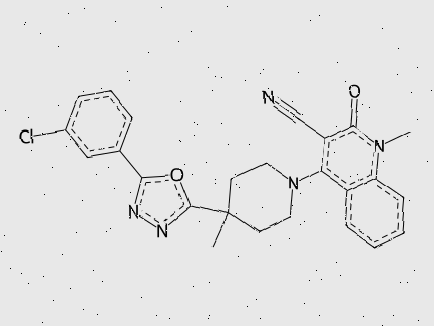 Cn1c(=O)c(C#N)c(N2CCC(C)(c3nnc(-c4cccc(Cl)c4)o3)CC2)c2ccccc21